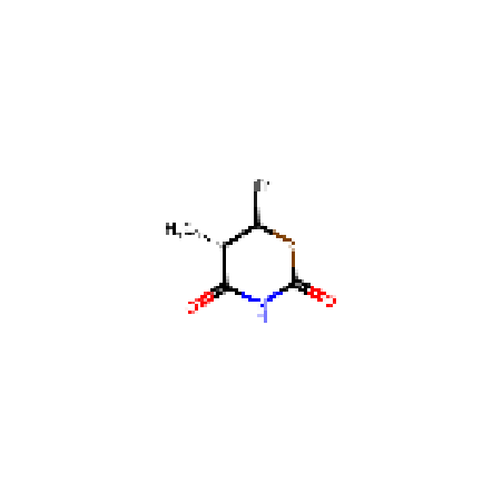 CC(C)C1SC(=O)NC(=O)[C@@H]1C